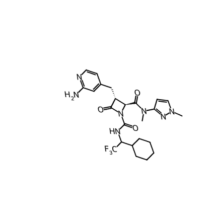 CN(C(=O)[C@@H]1[C@@H](Cc2ccnc(N)c2)C(=O)N1C(=O)NC(C1CCCCC1)C(F)(F)F)c1ccn(C)n1